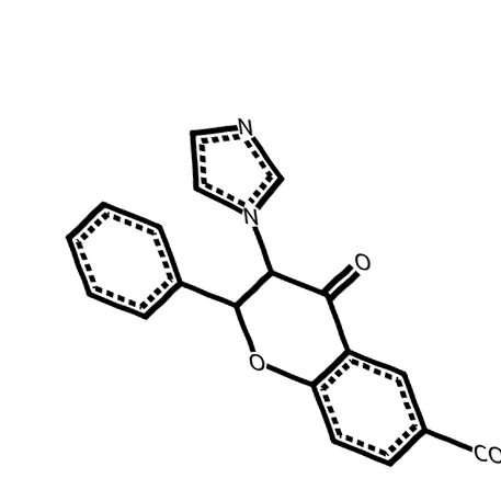 O=C(O)c1ccc2c(c1)C(=O)C(n1ccnc1)C(c1ccccc1)O2